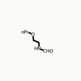 CCCOCCNC=O